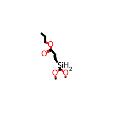 CCCOC(=O)C=C[SiH2]C(OC)OC